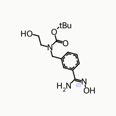 CC(C)(C)OC(=O)N(CCO)Cc1cccc(/C(N)=N/O)c1